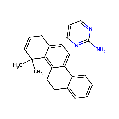 CC1(C)C=CCc2ccc3c(c21)CCc1ccccc1-3.Nc1ncccn1